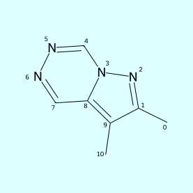 Cc1nn2cnncc2c1C